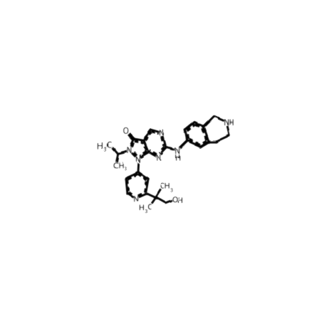 CC(C)n1c(=O)c2cnc(Nc3ccc4c(c3)CCNC4)nc2n1-c1ccnc(C(C)(C)CO)c1